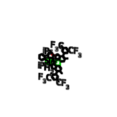 Cc1ccc2c(c1-c1cc(C(F)(F)F)cc(C(F)(F)F)c1)C=C(CC(C)C)[CH]2[Zr]([Cl])([Cl])([c]1cccc2c1[SiH2]c1ccccc1-2)[CH]1C(CC(C)C)=Cc2c1ccc(C)c2-c1cc(C(F)(F)F)cc(C(F)(F)F)c1